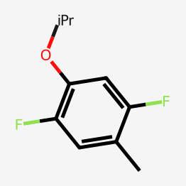 Cc1cc(F)c(OC(C)C)cc1F